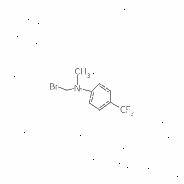 CN(CBr)c1ccc(C(F)(F)F)cc1